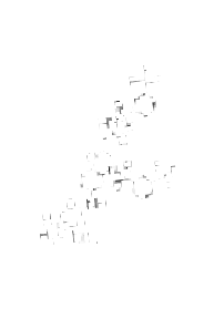 CC(C)(C)OC(=O)Nc1ccc2c(c1)N(S(=O)(=O)c1cccc(C(F)(F)F)c1)C[C@H](CC(=O)NS(=O)(=O)c1cccc(C(F)(F)F)c1)O2